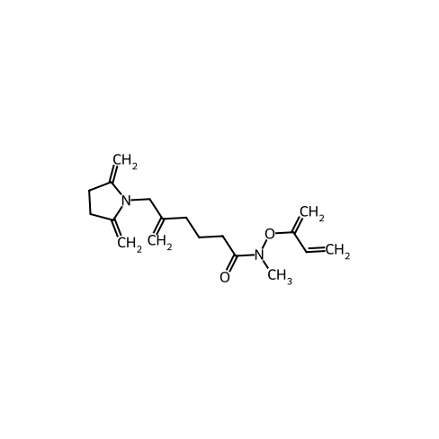 C=CC(=C)ON(C)C(=O)CCCC(=C)CN1C(=C)CCC1=C